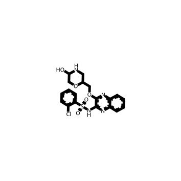 O=S(=O)(Nc1nc2ccccc2nc1OCC1CNC(O)CO1)c1ccccc1Cl